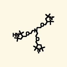 CN1C(C)(C)CC(COCCN(CCOCC2CC(C)(C)NC2(C)C)CCOCC2CC(C)(C)N(C)C2(C)C)C1(C)C